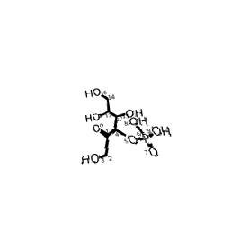 O=C(CO)C(OP(=O)(O)O)C(O)C(O)CO